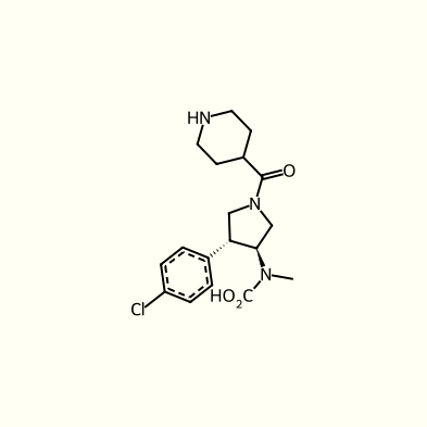 CN(C(=O)O)[C@@H]1CN(C(=O)C2CCNCC2)C[C@H]1c1ccc(Cl)cc1